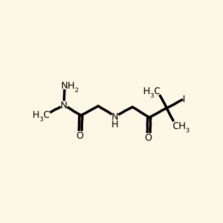 CN(N)C(=O)CNCC(=O)C(C)(C)I